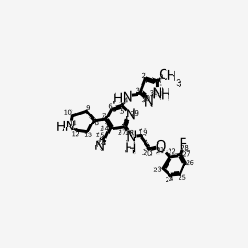 Cc1cc(Nc2cc(C3CCNCC3)c(C#N)c(NCCOc3ccccc3F)n2)n[nH]1